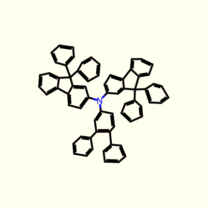 c1ccc(-c2ccc(N(c3ccc4c(c3)C(c3ccccc3)(c3ccccc3)c3ccccc3-4)c3ccc4c(c3)C(c3ccccc3)(c3ccccc3)c3ccccc3-4)cc2-c2ccccc2)cc1